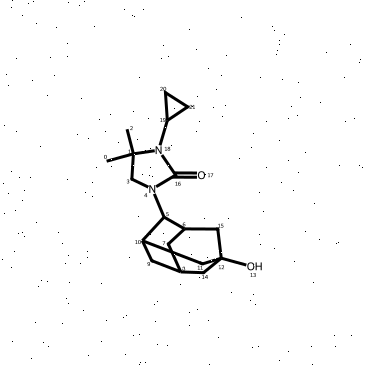 CC1(C)CN(C2C3CC4CC2CC(O)(C4)C3)C(=O)N1C1CC1